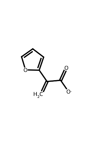 C=C(C([O])=O)c1ccco1